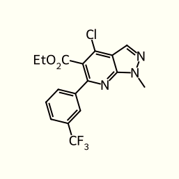 CCOC(=O)c1c(-c2cccc(C(F)(F)F)c2)nc2c(cnn2C)c1Cl